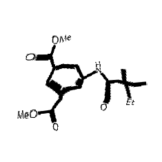 CCC(C)(C)C(=O)Nc1cc(C(=O)OC)cc(C(=O)OC)c1